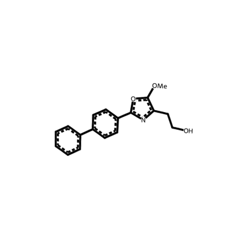 COc1oc(-c2ccc(-c3ccccc3)cc2)nc1CCO